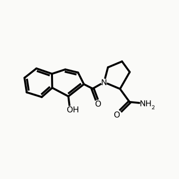 NC(=O)C1CCCN1C(=O)c1ccc2ccccc2c1O